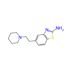 Nc1nc2cc(CCN3CCCCC3)ccc2s1